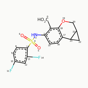 O=C(O)c1c(NS(=O)(=O)c2ccc(F)cc2F)ccc2c1OCC1CC21